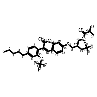 CCCCCc1ccc(-c2cc3ccc(SCC(COC(=O)C(C)C)CC(F)(F)F)cc3oc2=O)c(OC(F)(F)F)c1